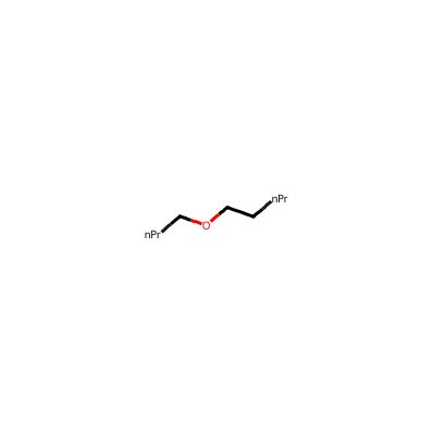 [CH2]CCCCOCCCC